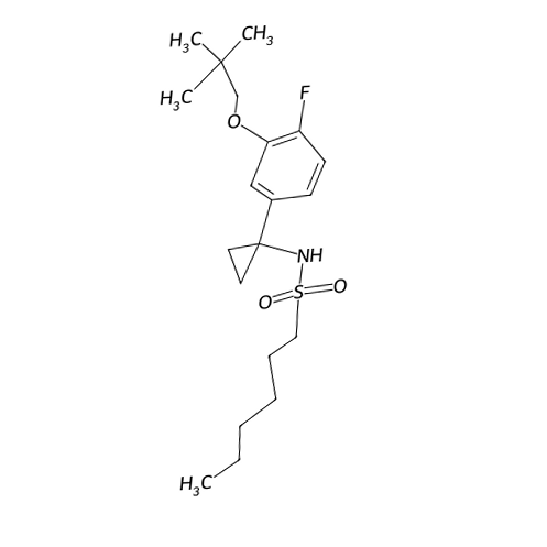 CCCCCCS(=O)(=O)NC1(c2ccc(F)c(OCC(C)(C)C)c2)CC1